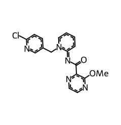 COc1nccnc1C(=O)N=c1ccccn1Cc1ccc(Cl)nc1